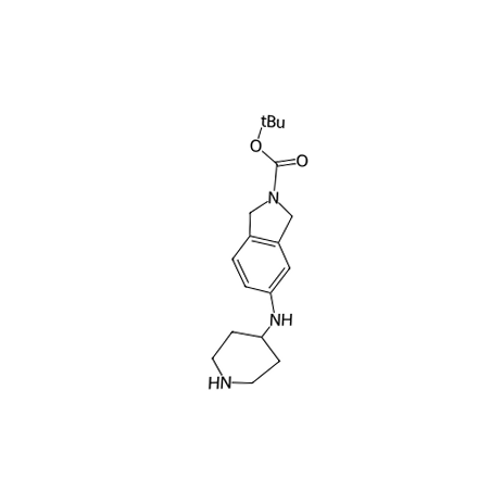 CC(C)(C)OC(=O)N1Cc2ccc(NC3CCNCC3)cc2C1